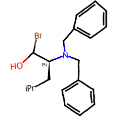 CC(C)C[C@@H](C(O)Br)N(Cc1ccccc1)Cc1ccccc1